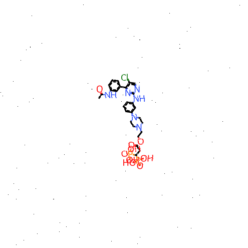 CC(=O)Nc1cccc(-c2nc(Nc3cccc(N4CCN(CCOC(=O)CC(P(=O)(O)O)P(=O)(O)O)CC4)c3)ncc2Cl)c1